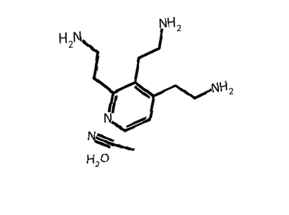 CC#N.NCCc1ccnc(CCN)c1CCN.O